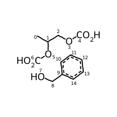 CC(COC(=O)O)OC(=O)O.OCc1ccccc1